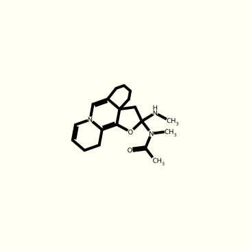 CNC1(N(C)C(C)=O)CC23CCCCC2=CN2C=CCCC2=C3O1